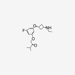 CCN[C@H]1C[C@@H](Oc2cc(F)cc(OCC(=O)C(C)C)c2)C1